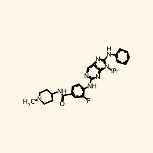 CC(C)n1c(Nc2ccccc2)nc2cnc(Nc3ccc(C(=O)NC4CCN(C)CC4)cc3F)nc21